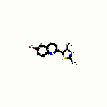 CC1=NC(C)C(c2ccc3cc(Br)ccc3n2)S1